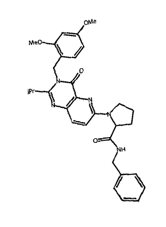 COc1ccc(Cn2c(C(C)C)nc3ccc(N4CCCC4C(=O)NCc4ccccc4)nc3c2=O)c(OC)c1